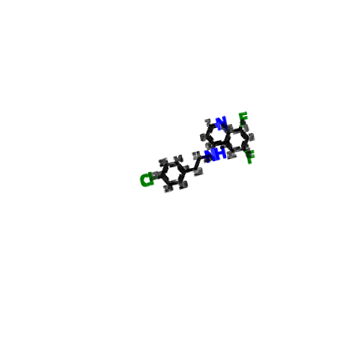 Fc1cc(F)c2nccc(NCCc3ccc(Cl)cc3)c2c1